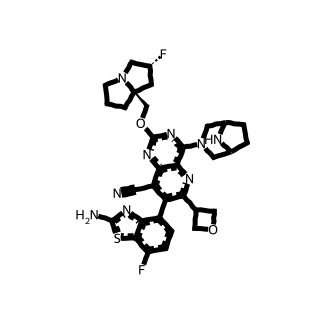 N#Cc1c(-c2ccc(F)c3sc(N)nc23)c(C2COC2)nc2c(N3CC4CCC(C3)N4)nc(OC[C@@]34CCCN3C[C@H](F)C4)nc12